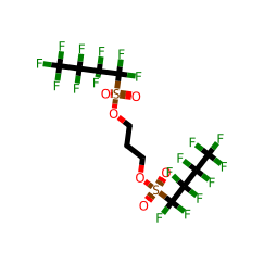 O=S(=O)(OCCCOS(=O)(=O)C(F)(F)C(F)(F)C(F)(F)C(F)(F)F)C(F)(F)C(F)(F)C(F)(F)C(F)(F)F